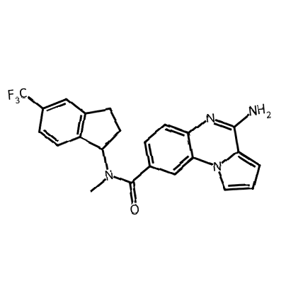 CN(C(=O)c1ccc2nc(N)c3cccn3c2c1)C1CCc2cc(C(F)(F)F)ccc21